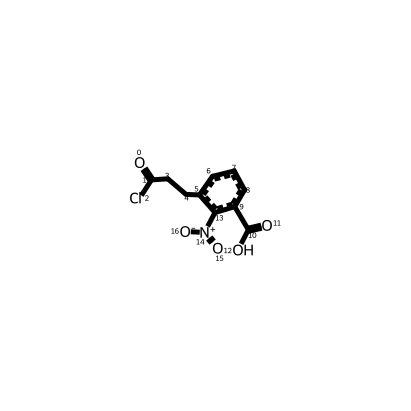 O=C(Cl)CCc1cccc(C(=O)O)c1[N+](=O)[O-]